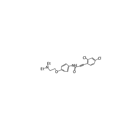 CCN(CC)CCOc1ccc(NC(=O)C#Cc2ccc(Cl)cc2Cl)cc1